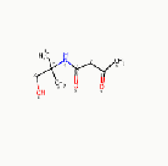 CC(=O)CC(=O)NC(C)(C)CO